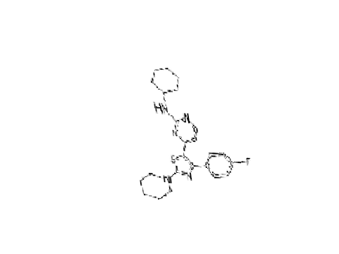 Fc1ccc(-c2nc(N3CCCCC3)sc2-c2ccnc(NC3CCCCC3)n2)cc1